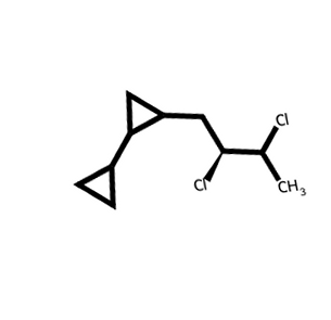 CC(Cl)[C@@H](Cl)CC1CC1C1CC1